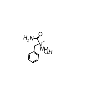 C[C@](N)(Cc1ccccc1)C(N)=O.Cl